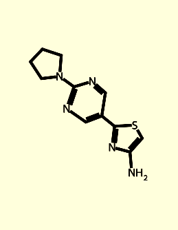 Nc1csc(-c2cnc(N3CCCC3)nc2)n1